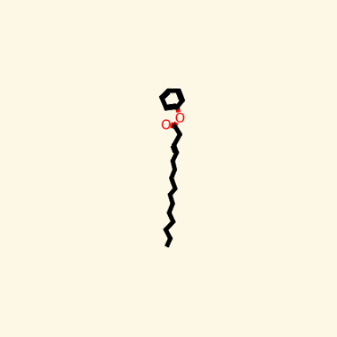 CCCCCCCCCCCC=CCC(=O)Oc1ccccc1